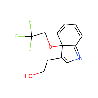 OCCC1=CN=C2C=CC=CC12OCC(F)(F)F